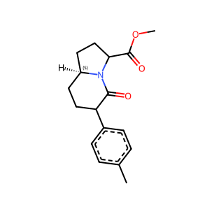 COC(=O)C1CC[C@@H]2CCC(c3ccc(C)cc3)C(=O)N12